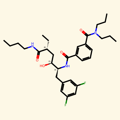 CCCCNC(=O)[C@H](CC)C[C@H](O)[C@H](Cc1cc(F)cc(F)c1)NC(=O)c1cccc(C(=O)N(CCC)CCC)c1